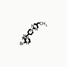 CCc1cnc(N2CCC(c3nnc4c(Br)nccn34)CC2)nc1